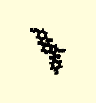 CCCc1cc2c(N[C@H]3CC[C@H](N)CC3)c(Br)cnc2n1S(=O)(=O)c1ccc(C)cc1